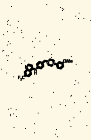 COc1cccc(N2CCN(Cc3ccc(Nc4ccnc5cc(C(F)(F)F)ccc45)cc3)CC2)c1